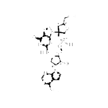 Nc1nc2c(nnn2C2(OP(=O)(S)OC[C@H]3OC[C@@H](n4ccc5c(N)ncnc54)[C@@H]3O)CO[C@H](CO)[C@H]2F)c(=O)[nH]1